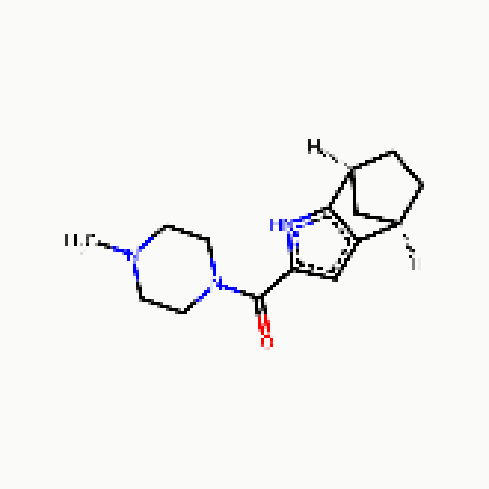 CN1CCN(C(=O)c2cc3c([nH]2)[C@H]2CC[C@@H]3C2)CC1